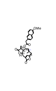 C=C1C(=O)O[C@H]2CC3=C[C@@H](C/C(C)=C/[C@@H](OC(=O)Cc4ccc5cc(OC)ccc5c4)[C@H]12)OC3=O